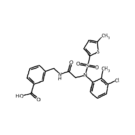 Cc1ccc(S(=O)(=O)N(CC(=O)NCc2cccc(C(=O)O)c2)c2cccc(Cl)c2C)s1